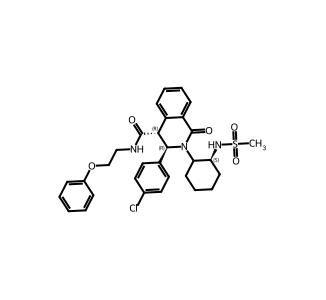 CS(=O)(=O)N[C@H]1CCCCC1N1C(=O)c2ccccc2[C@@H](C(=O)NCCOc2ccccc2)[C@@H]1c1ccc(Cl)cc1